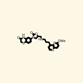 COc1ccc2nccc(CCCNCC3CN(c4ccc5c(c4)NC(=O)CS5)C(=O)O3)c2n1